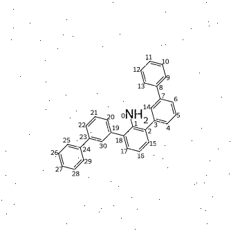 Nc1c(-c2cccc(-c3ccccc3)c2)cccc1-c1cccc(-c2ccccc2)c1